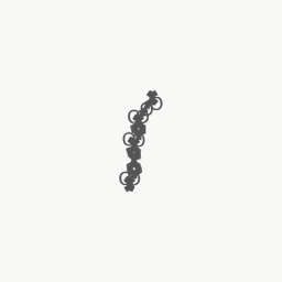 C=C(C)C(=O)COCOC(=O)c1ccc(OC(=O)c2ccc(-c3ccc(OC(=O)C(=C)C)cc3)cc2)cc1